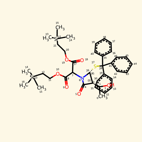 CC(O)[C@H]1C(=O)N(C(C(=O)OCC[Si](C)(C)C)C(=O)OCC[Si](C)(C)C)[C@@H]1SC(c1ccccc1)(c1ccccc1)c1ccccc1